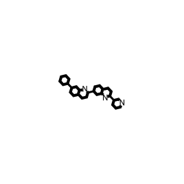 c1ccc(-c2ccc3ccc(-c4ccc5ccc(-c6cccnc6)nc5c4)nc3c2)cc1